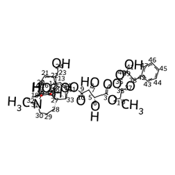 C[C@H](OC(=O)[C@H](O)[C@@H](O)C(=O)OC1=CC[C@@]2(O)[C@H]3Cc4ccc(CO)c5c4[C@@]2(CCCN3C)[C@H]1O5)C(=O)O[C@H](C(=O)O)c1ccccc1